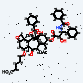 CC(=O)OC1C(=O)[C@@]2(C)C([C@]3(OC(C)=O)COC3C[C@@H]2OCCCCC(=O)O)[C@@]2(OC(=O)c3ccccc3)[C@]3(O)C[C@H](OC(=O)[C@H](O)[C@@H](NC(=O)c4ccccc4)c4ccccc4)C(C)=C1[C@@]32C